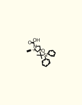 C#C[C@H]1C[C@@H](O[Si](c2ccccc2)(c2ccccc2)C(C)(C)C)CN1C(=O)O